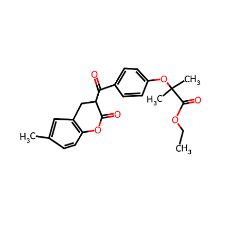 CCOC(=O)C(C)(C)Oc1ccc(C(=O)C2Cc3cc(C)ccc3OC2=O)cc1